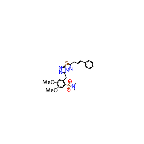 COc1cc(Cc2nnc3sc(C/C=C/c4ccccc4)nn23)c(S(=O)(=O)N(C)C)cc1OC